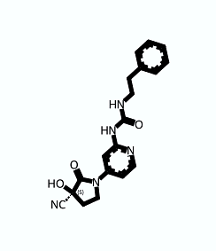 N#C[C@@]1(O)CCN(c2ccnc(NC(=O)NCCc3ccccc3)c2)C1=O